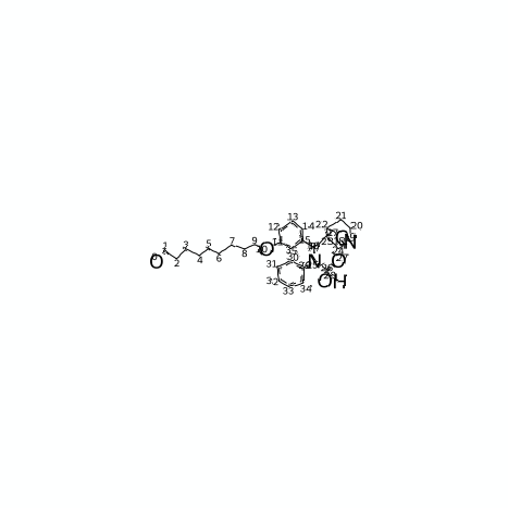 O=CCCCCCCCCOc1cccc([C@@H](C2CN3CCC2CC3)N(C(=O)O)c2ccccc2)c1